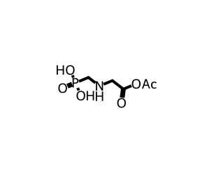 CC(=O)OC(=O)CNCP(=O)(O)O